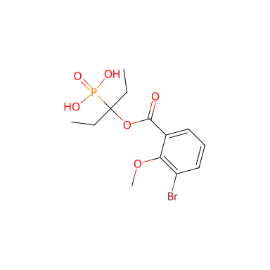 CCC(CC)(OC(=O)c1cccc(Br)c1OC)P(=O)(O)O